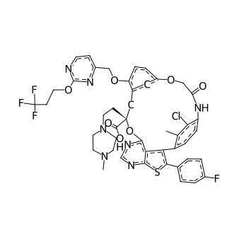 Cc1c2ccc(c1Cl)NC(=O)COc1ccc(OCc3ccnc(OCCC(F)(F)F)n3)c(c1)C[C@@](CCN1CCN(C)CC1)(C(=O)O)Oc1ncnc3sc(-c4ccc(F)cc4)c-2c13